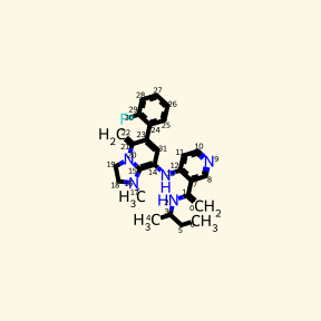 C=C(NC(C)CC)c1cnccc1NC1=C2N(C)CCN2C(=C)C(c2ccccc2F)=C1